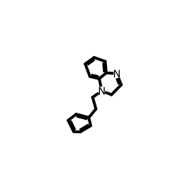 C1=Nc2ccccc2N(CCc2ccccc2)C1